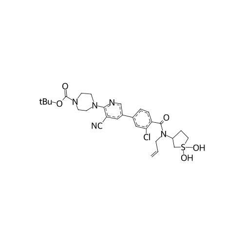 C=CCN(C(=O)c1ccc(-c2cnc(N3CCN(C(=O)OC(C)(C)C)CC3)c(C#N)c2)cc1Cl)C1CCS(O)(O)C1